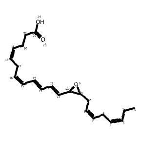 CC/C=C\C/C=C\CC1OC1/C=C/C=C/C=C\C/C=C\CCC(=O)O